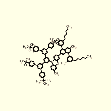 CCCCCCc1cc(C)cc(-c2cc(-c3ccc4c(c3)Oc3cc(C)ccc3N4c3cc(-c4cc(-c5ccc(C(C)(C)C)cc5)cc(-c5ccc(C(C)(C)C)cc5)c4)cc(-c4cc(-c5ccc(C(C)(C)C)cc5)cc(-c5ccc(C(C)(C)C)cc5)c4)c3)cc3c(-c4cc(C)cc(CCCCCC)c4)cc(C)cc23)c1